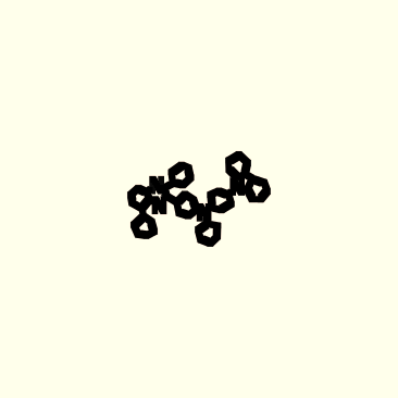 c1ccc(-c2nc3cccc(-c4ccccc4)c3nc2-c2ccc(N(c3ccccc3)c3ccc(-n4c5ccccc5c5ccccc54)cc3)cc2)cc1